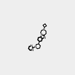 c1cnc(N2CCCC(c3ccc4c(c3)nc3n4CCN(C4CCC4)CC3)C2)nc1